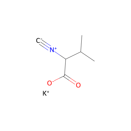 [C-]#[N+]C(C(=O)[O-])C(C)C.[K+]